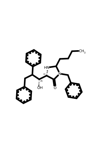 CCCCC1N[C@@H]([C@H](O)[C](Cc2ccccc2)c2ccccc2)C(=O)N1Cc1ccccc1